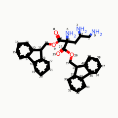 NCC(N)CC(N)(C(=O)OCC1c2ccccc2-c2ccccc21)C(=O)OCC1c2ccccc2-c2ccccc21